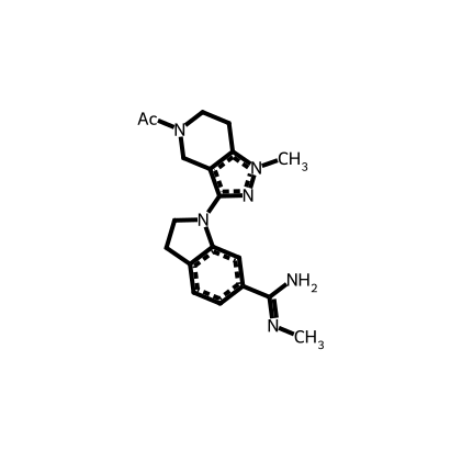 C/N=C(\N)c1ccc2c(c1)N(c1nn(C)c3c1CN(C(C)=O)CC3)CC2